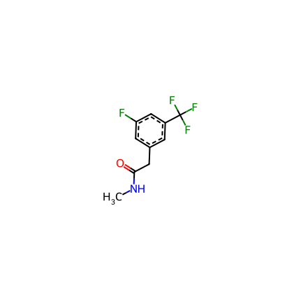 CNC(=O)Cc1cc(F)cc(C(F)(F)F)c1